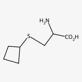 NC(CSC1CCC1)C(=O)O